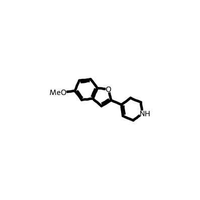 COc1ccc2oc(C3=CCNCC3)cc2c1